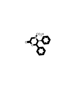 O=C1CN(C(=O)O)[C@@H](c2ccccc2)C(c2ccccc2)O1